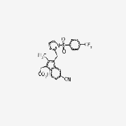 Cc1c(Cc2cccn2S(=O)(=O)c2ccc(C(F)(F)F)cc2)c2cc(C#N)ccn2c1CC(=O)O